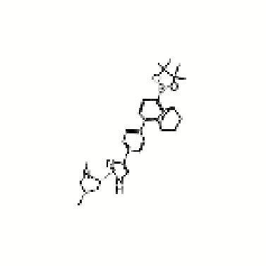 C[C@@H]1C[C@@H](c2nc(-c3ccc(-c4ccc(B5OC(C)(C)C(C)(C)O5)c5c4C4CCC5CC4)cc3)c[nH]2)N(C)C1